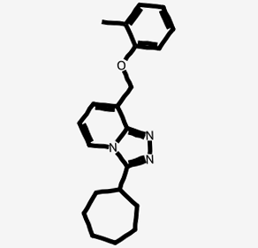 Cc1ccccc1OCc1cccn2c(C3CCCCCC3)nnc12